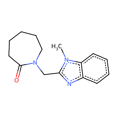 Cn1c(CN2CCCCCC2=O)nc2ccccc21